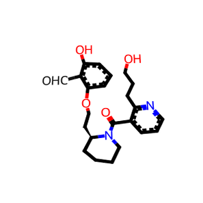 O=Cc1c(O)cccc1OCC[C@@H]1CCCCN1C(=O)c1cccnc1CCCO